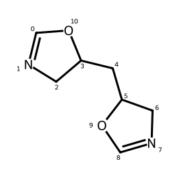 C1=NCC(CC2CN=CO2)O1